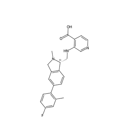 Cc1cc(F)ccc1-c1ccc2c(c1)CN(C)[C@@H]2CNc1cnccc1C(=O)O